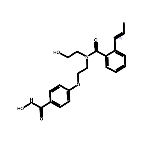 C/C=C/c1ccccc1C(=O)N(CCO)CCOc1ccc(C(=O)NO)cc1